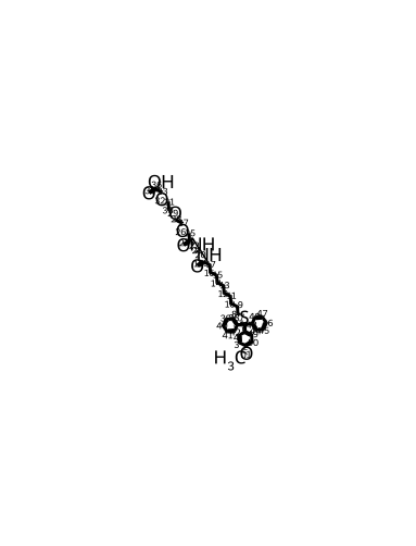 COc1ccc(C(SCCCCCCCCCCC(=O)NCNC(=O)COCCOCCOCC(=O)O)(c2ccccc2)c2ccccc2)cc1